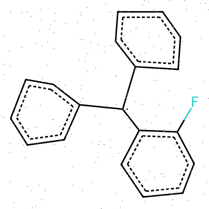 Fc1ccccc1[C](c1ccccc1)c1ccccc1